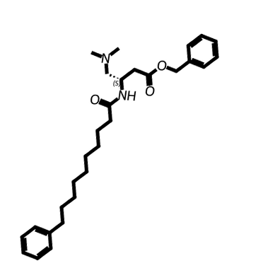 CN(C)C[C@H](CC(=O)OCc1ccccc1)NC(=O)CCCCCCCCCc1ccccc1